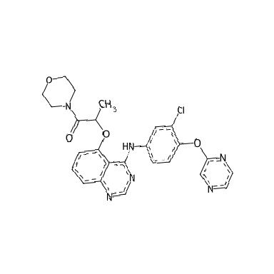 CC(Oc1cccc2ncnc(Nc3ccc(Oc4cnccn4)c(Cl)c3)c12)C(=O)N1CCOCC1